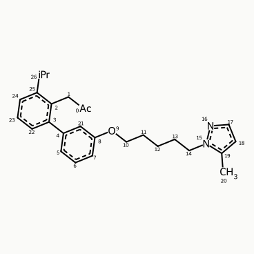 CC(=O)Cc1c(-c2cccc(OCCCCCn3nccc3C)c2)cccc1C(C)C